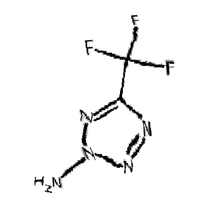 Nn1nnc(C(F)(F)F)n1